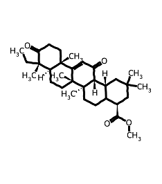 CC[C@]1(C)C(=O)CC[C@]2(C)C3=CC(=O)[C@@H]4[C@@H]5CC(C)(C)C[C@@H](C(=O)OC)C5CC[C@@]4(C)[C@]3(C)CC[C@@H]12